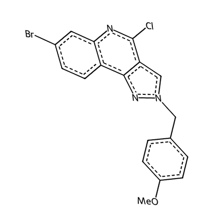 COc1ccc(Cn2cc3c(Cl)nc4cc(Br)ccc4c3n2)cc1